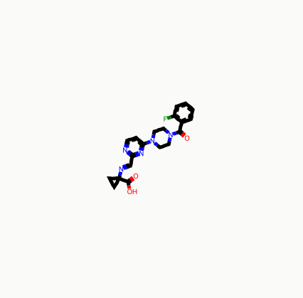 O=C(c1ccccc1F)N1CCN(c2ccnc(C=NC3(C(=O)O)CC3)n2)CC1